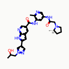 Cc1ncc(NC(=O)CN2CCC[C@@H]2C)cc1NC(=O)c1cnc2[nH]c(-c3cnn(CC(C)O)c3)cc2c1